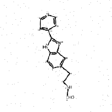 O=CNCCc1ccc2[nH]c(-c3ccncc3)nc2c1